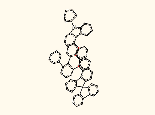 c1ccc(-c2ccccc2-c2c(-c3ccccc3)cccc2N(c2cccc(-c3cccc4c3c3ccccc3n4-c3ccccc3)c2)c2cccc3c2-c2ccccc2C32c3ccccc3-c3ccccc32)cc1